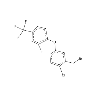 FC(F)(F)c1ccc(Oc2ccc(Cl)c(CBr)c2)c(Cl)c1